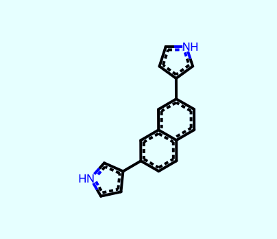 c1cc(-c2ccc3ccc(-c4cc[nH]c4)cc3c2)c[nH]1